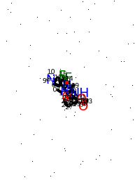 CCn1c(-c2ccc(N(C)C)cc2C(F)(F)F)nc(C)c(N[C@@H]2c3ccccc3C[C@@H]2OC(C)=O)c1=O